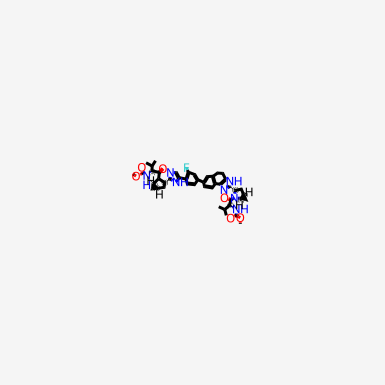 COC(=O)N[C@H](C(=O)C1[C@H](c2ncc(-c3ccc(-c4ccc5c(c4)CCc4[nH]c([C@@H]6C[C@H]7C[C@H]7N6C(=O)[C@@H](NC(=O)OC)C(C)C)nc4-5)cc3F)[nH]2)C[C@H]2C[C@@H]12)C(C)C